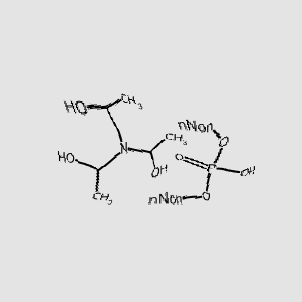 CC(O)N(C(C)O)C(C)O.CCCCCCCCCOP(=O)(O)OCCCCCCCCC